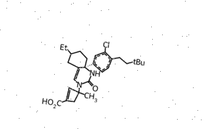 CCC1CC[C@@]2(c3ccc(CCC(C)(C)C)c(Cl)c3)NC(=O)N(C3(C)C=C(C(=O)O)C3)C=C2C1